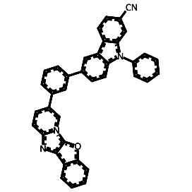 N#Cc1ccc2c3cc(-c4cccc(-c5ccc6nc7c8ccccc8oc7n6c5)c4)ccc3n(-c3ccccc3)c2c1